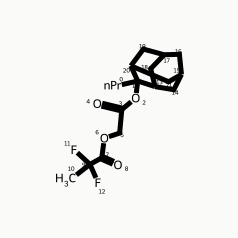 CCCC1(OC(=O)COC(=O)C(C)(F)F)C2CC3CC(C2)CC1C3